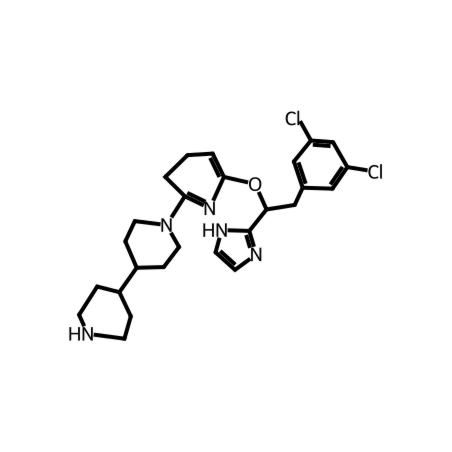 Clc1cc(Cl)cc(CC(OC2=CCCC(N3CCC(C4CCNCC4)CC3)=N2)c2ncc[nH]2)c1